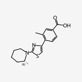 Cc1cc(C(=O)O)ccc1-c1csc(N2CCCC[C@H]2C)n1